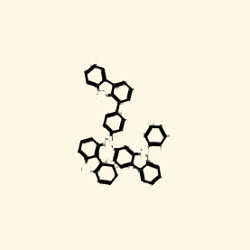 C1=Cc2oc3cccc(N(c4ccc(-c5cccc6c5oc5ccccc56)cc4)c4ccc5c6ccccc6n(-c6ccccc6)c5c4)c3c2CC1